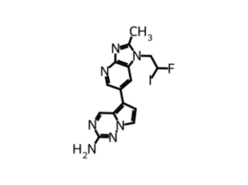 Cc1nc2ncc(-c3ccn4nc(N)ncc34)cc2n1CC(F)I